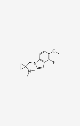 COc1ccc2c(ccn2CC2(N(C)C)CC2)c1F